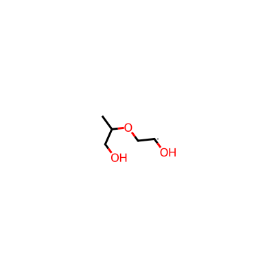 CC(CO)OC[CH]O